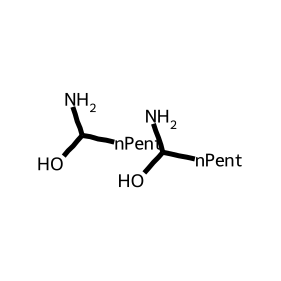 CCCCCC(N)O.CCCCCC(N)O